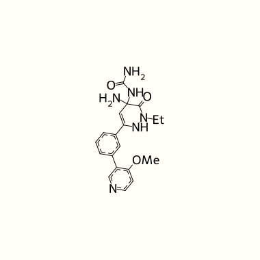 CCN1NC(c2cccc(-c3cnccc3OC)c2)=CC(N)(NC(N)=O)C1=O